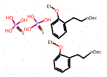 CCCCCCCCCCCCc1ccccc1OCC.CCCCCCCCCCCCc1ccccc1OCC.OP(O)(O)=S.OP(O)(O)=S